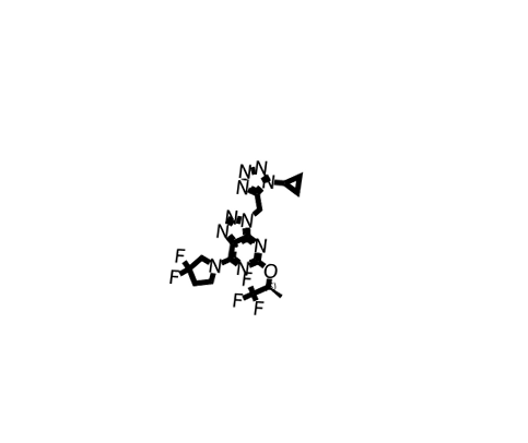 C[C@H](Oc1nc(N2CCC(F)(F)C2)c2nnn(Cc3nnnn3C3CC3)c2n1)C(F)(F)F